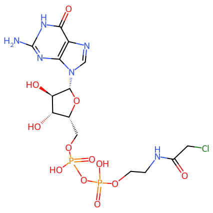 Nc1nc2c(ncn2[C@@H]2O[C@H](COP(=O)(O)OP(=O)(O)OCCNC(=O)CCl)[C@H](O)[C@H]2O)c(=O)[nH]1